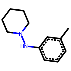 Cc1cccc(NN2CCCCC2)c1